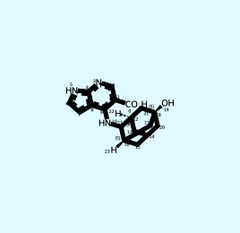 O=C(O)c1cnc2[nH]ccc2c1NC1[C@@H]2CC3C[C@H]1C[C@@](O)(C3)C2